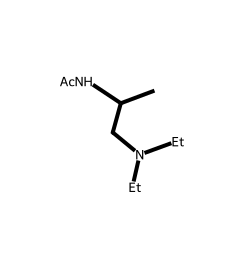 CCN(CC)CC(C)NC(C)=O